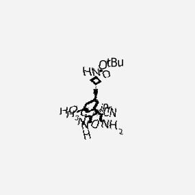 Cc1n[nH]c2c1[C@](c1cc(C#C[C@H]3C[C@@H](NC(=O)OC(C)(C)C)C3)cc(CO)c1)(C(C)C)C(C#N)=C(N)O2